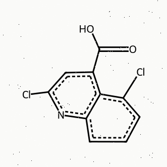 O=C(O)c1cc(Cl)nc2cccc(Cl)c12